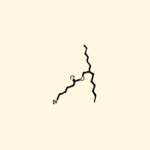 CCCCCCC(CCCCCC)COC(=O)CCCCBr